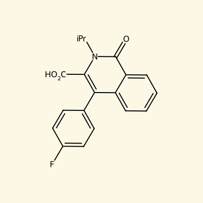 CC(C)n1c(C(=O)O)c(-c2ccc(F)cc2)c2ccccc2c1=O